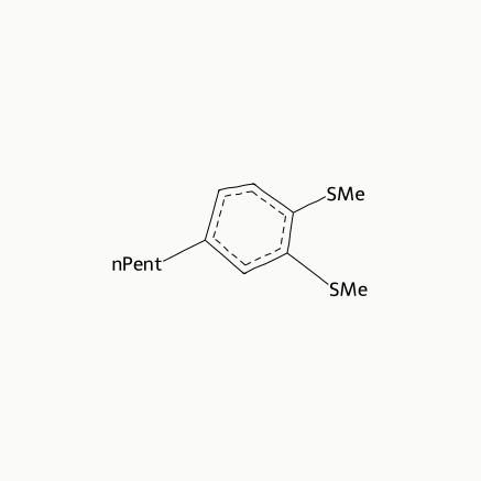 [CH2]CCCCc1ccc(SC)c(SC)c1